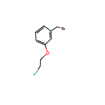 FCCOc1cccc(CBr)c1